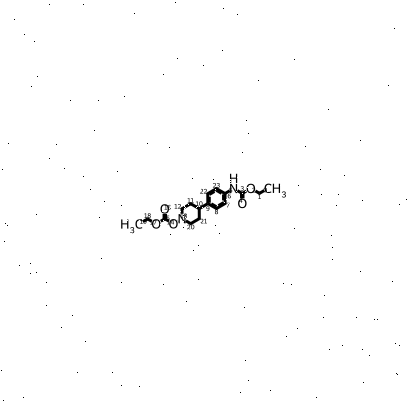 CCOC(=O)Nc1ccc(C2CCN(OC(=O)OCC)CC2)cc1